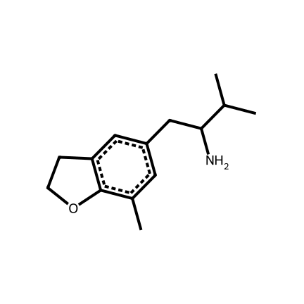 Cc1cc(CC(N)C(C)C)cc2c1OCC2